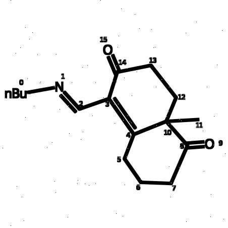 CCCC/N=C/C1=C2CCCC(=O)C2(C)CCC1=O